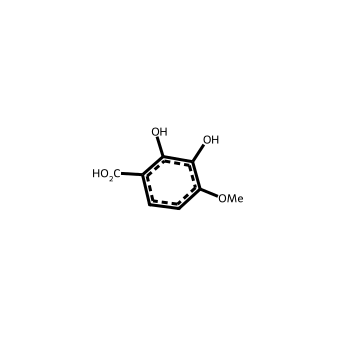 COc1ccc(C(=O)O)c(O)c1O